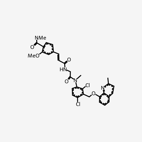 CNC(=O)c1ccc(C=CC(=O)NCC(=O)N(C)c2ccc(Cl)c(COc3cccc4ccc(C)nc34)c2Cl)cc1OC